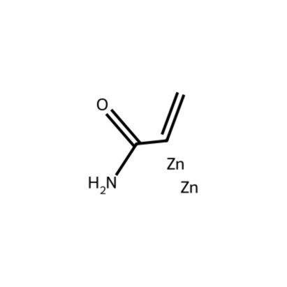 C=CC(N)=O.[Zn].[Zn]